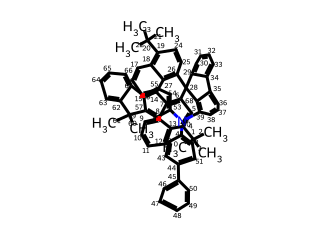 CC(C)(C)c1cc2c(c3ccccc13)-c1cccc3c(C(C)(C)C)ccc(c13)C21c2ccccc2-c2cccc(N(c3ccc(-c4ccccc4)cc3)c3ccc4c(c3)C(C)(C)c3ccccc3-4)c21